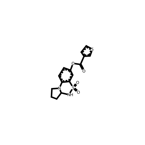 O=C(Oc1ccc2c(c1)S(=O)(=O)NC1CCCN21)c1ccsc1